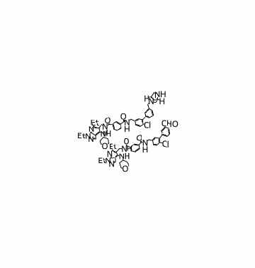 CCc1nc2c(cnn2CC)c(NC2CCOCC2)c1CNC(=O)c1cccc(C(=O)NCc2ccc(Cl)c(-c3cccc(C=O)c3)c2)c1.CCc1nc2c(cnn2CC)c(NC2CCOCC2)c1CNC(=O)c1cccc(C(=O)NCc2ccc(Cl)c(-c3cccc(CN4C[C@@H]5C[C@H]4CN5)c3)c2)c1